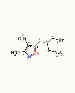 Cc1noc(C[C@H](CC(C)C)C[N+](=O)[O-])c1[N+](=O)[O-]